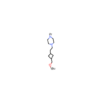 CC(C)N1CCN(CCC2CC(COC(C)(C)C)C2)CC1